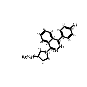 CC(=O)NC1CCN(c2nnc(-c3ccc(Cl)cc3)c3ccccc23)C1